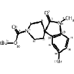 CN1C(=O)C2(CCN(C(=O)OC(C)(C)C)CC2)c2cc(Br)ccc21